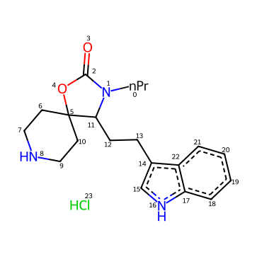 CCCN1C(=O)OC2(CCNCC2)C1CCc1c[nH]c2ccccc12.Cl